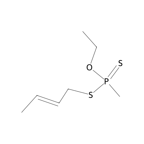 C/C=C/CSP(C)(=S)OCC